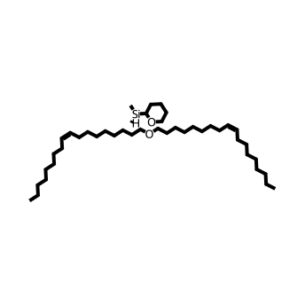 CCCCCCCC/C=C\CCCCCCCCOCCCCCCCC/C=C\CCCCCCCC.C[SiH](C)C1CCCCO1